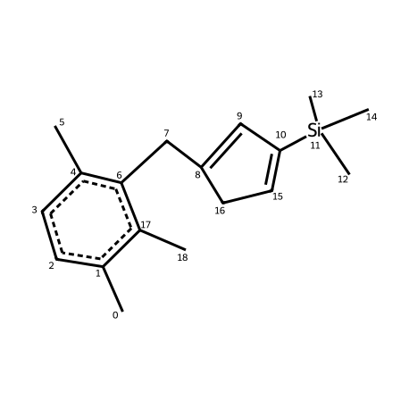 Cc1ccc(C)c(CC2=CC([Si](C)(C)C)=CC2)c1C